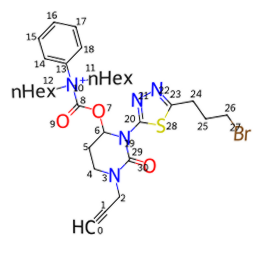 C#CCN1CCC(OC(=O)[N+](CCCCCC)(CCCCCC)c2ccccc2)N(c2nnc(CCCBr)s2)C1=O